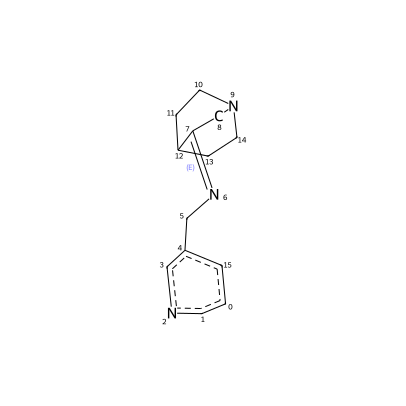 c1cncc(C/N=C2/CN3CCC2CC3)c1